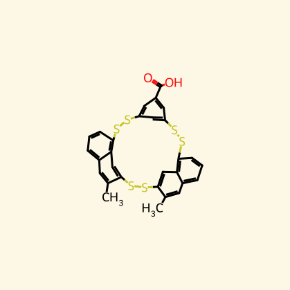 Cc1cc2cccc3c2cc1SSc1cc2c(cccc2cc1C)SSc1cc(cc(C(=O)O)c1)SS3